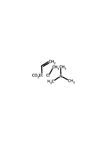 C=CC(=O)OCC.CCl.CN(C)C